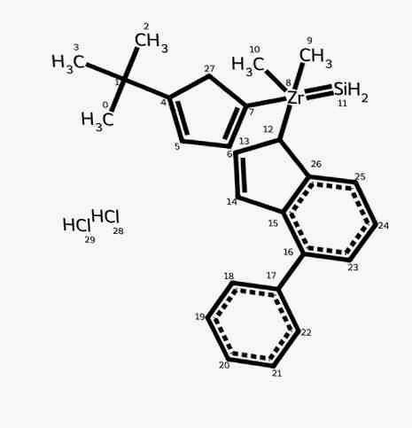 CC(C)(C)C1=CC=[C]([Zr]([CH3])([CH3])(=[SiH2])[CH]2C=Cc3c(-c4ccccc4)cccc32)C1.Cl.Cl